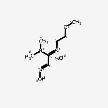 COCC/N=C(/C=N/O)N(C)C.Cl